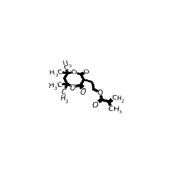 C=C(C)C(=O)OCCC1C(=O)OC(C)(C)CC(C)(C)OC1=O